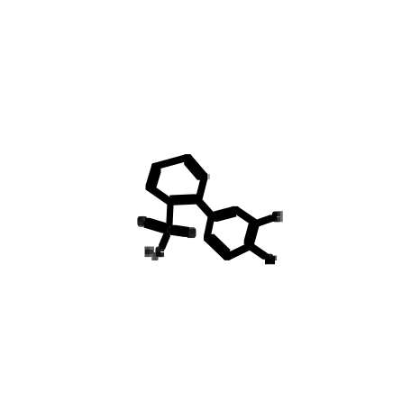 CS(=O)(=O)c1ccc[c]c1-c1ccc(Br)c(Cl)c1